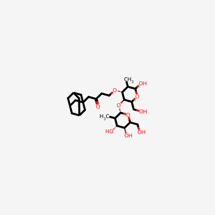 CC1[C@H](O[C@@H]2C(CO)OC(O)C(C)[C@H]2OCCC(=O)CC23CC4CC(CC(C4)C2)C3)OC(CO)[C@@H](O)[C@@H]1O